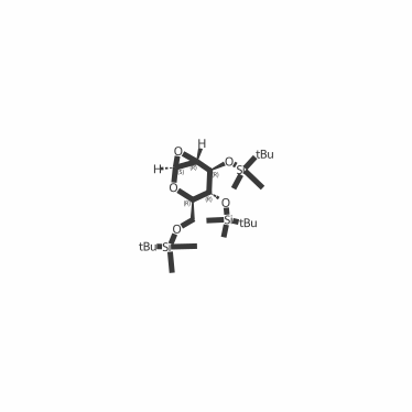 CC(C)(C)[Si](C)(C)OC[C@H]1O[C@H]2O[C@@H]2[C@@H](O[Si](C)(C)C(C)(C)C)[C@@H]1O[Si](C)(C)C(C)(C)C